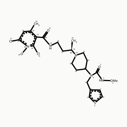 CONC(=O)N(Cc1ccsc1)C1CCN([C@H](C)CCNC(=O)c2c(C)cc(Cl)[n+]([O-])c2Cl)CC1